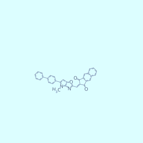 Cn1c(-c2ccc(-c3ccccc3)cc2)cc2oc(C=C3C(=O)c4cc5ccccc5cc4C3=O)nc21